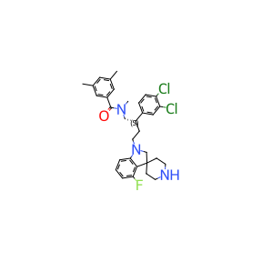 Cc1cc(C)cc(C(=O)N(C)C[C@@H](CCN2CC3(CCNCC3)c3c(F)cccc32)c2ccc(Cl)c(Cl)c2)c1